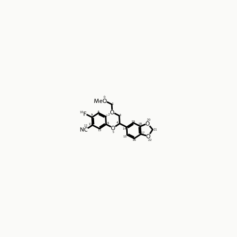 COCOCC(Oc1ccc(F)c(C#N)c1)c1ccc2c(c1)OCO2